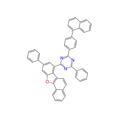 c1ccc(-c2cc(-c3nc(-c4ccccc4)nc(-c4ccc(-c5cccc6ccccc56)cc4)n3)c3c(c2)oc2c4ccccc4ccc23)cc1